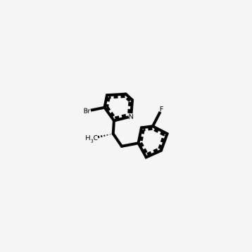 C[C@@H](Cc1cccc(F)c1)c1ncccc1Br